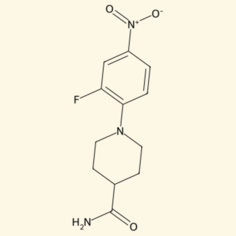 NC(=O)C1CCN(c2ccc([N+](=O)[O-])cc2F)CC1